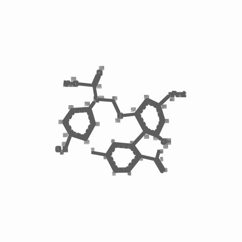 C=C(C)c1ccc(C)cc1-c1c(O)cc(CCCCC)cc1OCN(C(=O)OC)c1ccc([N+](=O)[O-])cc1